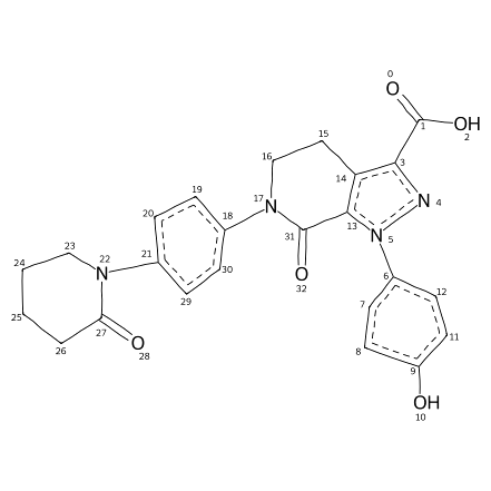 O=C(O)c1nn(-c2ccc(O)cc2)c2c1CCN(c1ccc(N3CCCCC3=O)cc1)C2=O